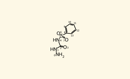 NNC(=O)NS(=O)(=O)c1ccccc1